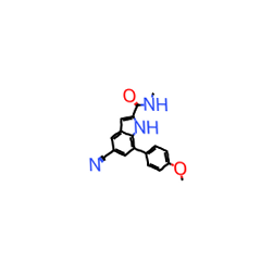 CNC(=O)c1cc2cc(C#N)cc(-c3ccc(OC)cc3)c2[nH]1